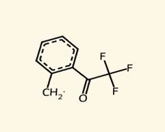 [CH2]c1ccccc1C(=O)C(F)(F)F